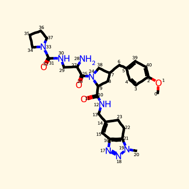 COc1ccc(CC2CC(C(=O)NCC3=Cc4nnn(C)c4CC3)N(C(=O)C(N)CNC(=O)N3CCCC3)C2)cc1